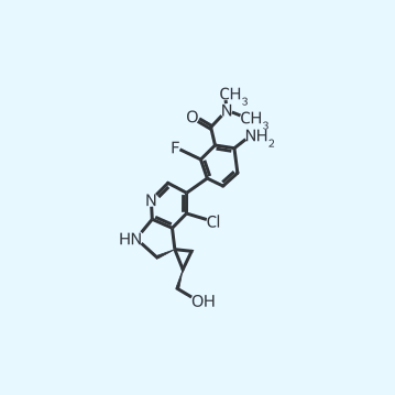 CN(C)C(=O)c1c(N)ccc(-c2cnc3c(c2Cl)[C@]2(CN3)C[C@H]2CO)c1F